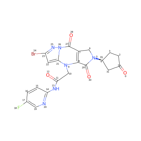 O=C1CC[C@H](N2Cc3c(n(CC(=O)Nc4ccc(F)cn4)c4cc(Br)nn4c3=O)C2=O)C1